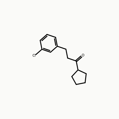 O=C(CCc1cccc(Cl)c1)C1CCCC1